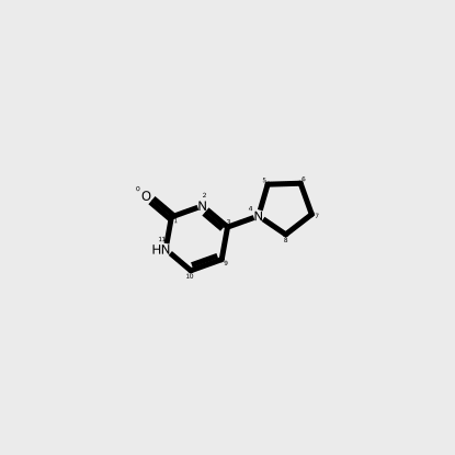 O=c1nc(N2CCCC2)cc[nH]1